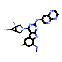 CNc1cc(F)cc2c1[nH]c1nc(Nc3cnc4nccnc4c3)nc(N3C[C@H]4C([C@H]4N)[C@H]3C)c12